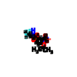 CC(C)Oc1ccc(S(=O)(=O)NCC(F)(F)F)cc1[N+](=O)[O-]